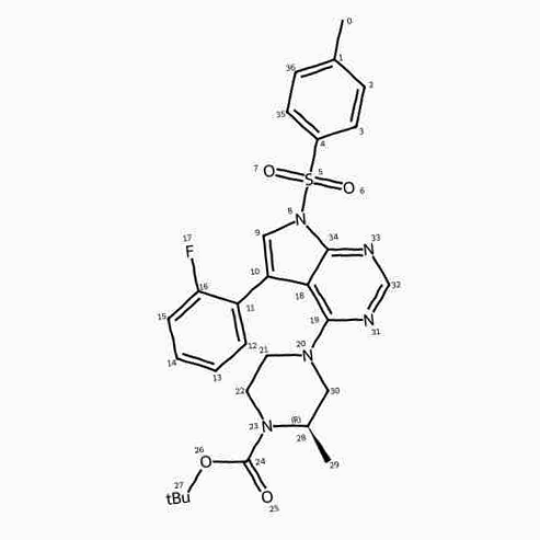 Cc1ccc(S(=O)(=O)n2cc(-c3ccccc3F)c3c(N4CCN(C(=O)OC(C)(C)C)[C@H](C)C4)ncnc32)cc1